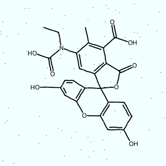 CCN(C(=O)O)c1cc2c(c(C(=O)O)c1C)C(=O)OC21c2ccc(O)cc2Oc2cc(O)ccc21